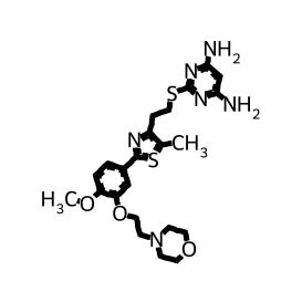 COc1ccc(-c2nc(CCSc3nc(N)cc(N)n3)c(C)s2)cc1OCCN1CCOCC1